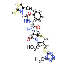 Cc1csc(=S)n1CC(=O)NC(C(=O)NC1C(=O)N2C(C(=O)O)=C(CSc3nnnn3C)CS[C@@H]12)c1ccccc1